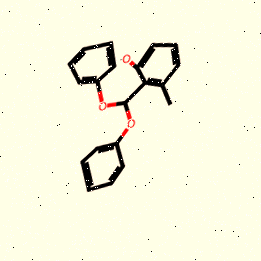 Cc1cccc([O])c1C(Oc1ccccc1)Oc1ccccc1